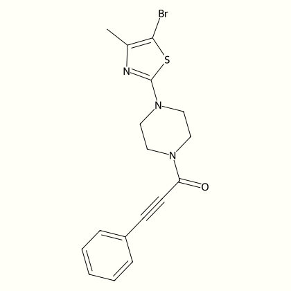 Cc1nc(N2CCN(C(=O)C#Cc3ccccc3)CC2)sc1Br